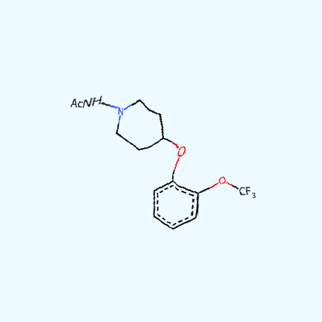 CC(=O)NN1CCC(Oc2ccccc2OC(F)(F)F)CC1